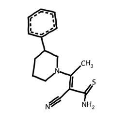 C/C(=C(/C#N)C(N)=S)N1CCCC(c2ccccc2)C1